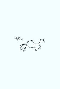 CCC(=O)C1(C)CCC2C(C)COC2C1